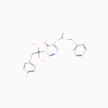 CCOC(Cc1ccc(Cl)cc1)(OCC)n1cncc(NC(=O)OCc2ccccc2)c1=O